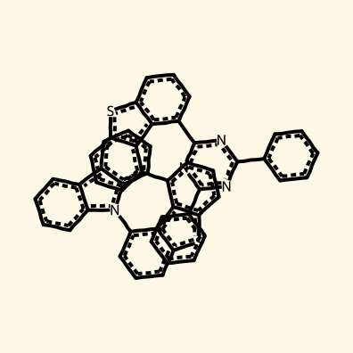 c1ccc(-c2nc(-c3ccccc3)nc(-c3cccc4sc5cccc(-c6cccc7sc8cccc(-n9c%10ccccc%10c%10ccccc%109)c8c67)c5c34)n2)cc1